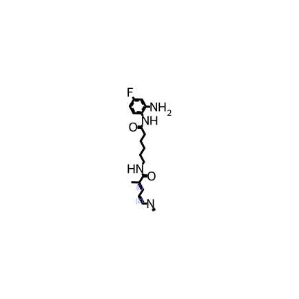 C=N/C=C\C=C(/C)C(=O)NCCCCCC(=O)Nc1ccc(F)cc1N